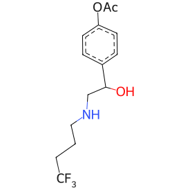 CC(=O)Oc1ccc(C(O)CNCCCC(F)(F)F)cc1